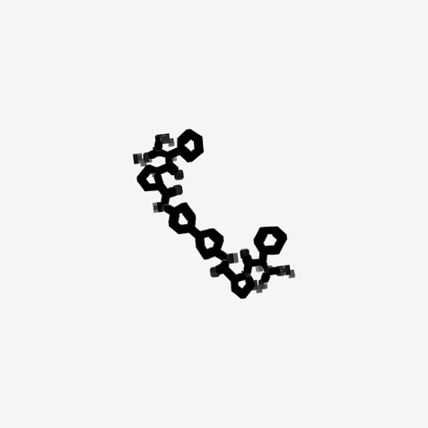 CN(C)[C@H](C(=O)N1CCCC1C(=O)Nc1ccc(-c2ccc(NC(=O)C3CCCN3C(=O)[C@H](c3ccccc3)N(C)C)cc2)cc1)c1ccccc1